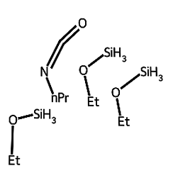 CCCN=C=O.CCO[SiH3].CCO[SiH3].CCO[SiH3]